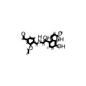 CCOc1cc(C=O)ccc1CNC[C@H](O)c1ccc(O)c2[nH]c(=O)ccc12